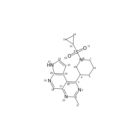 Cc1nc(C2CCCN(S(=O)(=O)C3CC3)C2)c2c(cnc3[nH]ccc32)n1